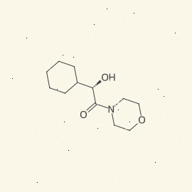 O=C([C@H](O)C1CCCCC1)N1CCOCC1